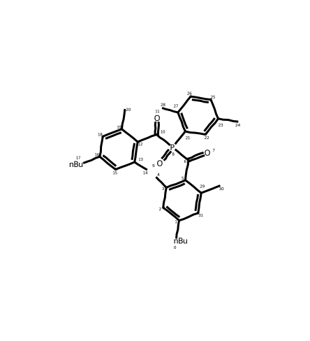 CCCCc1cc(C)c(C(=O)P(=O)(C(=O)c2c(C)cc(CCCC)cc2C)c2cc(C)ccc2C)c(C)c1